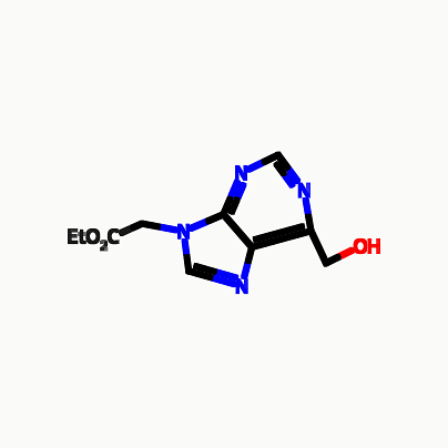 CCOC(=O)Cn1cnc2c(CO)ncnc21